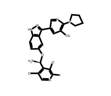 N#Cc1cc(-c2n[nH]c3ccc(O[C@H](N)c4c(Cl)cnc(F)c4Cl)cc23)cnc1N1CCCC1